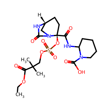 CCOC(=O)C(C)(C)COS(=O)(=O)O[C@]1(C(=O)NC2CCCCN2C(=O)O)CC[C@@H]2CN1C(=O)N2